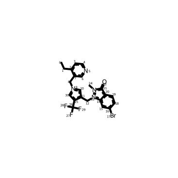 CCc1ccncc1Cn1cc(Cn2c3cc(Br)ccc3c(=O)n2C)c(C(F)(F)F)c1